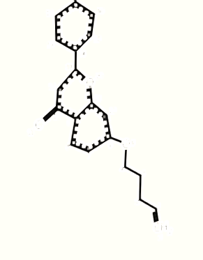 C=CCCCOc1ccc2c(=O)cc(-c3ccccc3)oc2c1